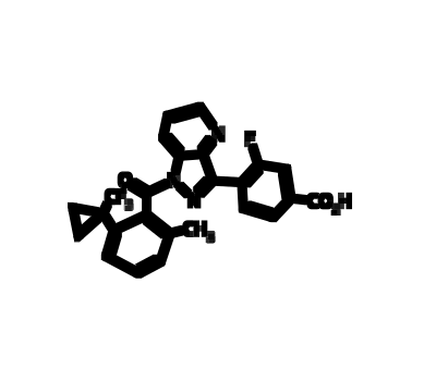 Cc1cccc(C2(C(F)(F)F)CC2)c1C(=O)n1nc(-c2ccc(C(=O)O)cc2F)c2ncccc21